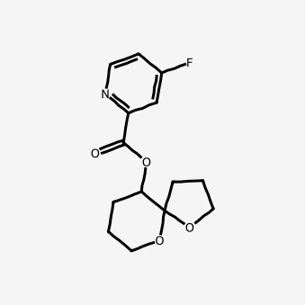 O=C(OC1CCCOC12CCCO2)c1cc(F)ccn1